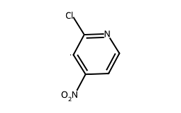 O=[N+]([O-])c1[c]c(Cl)ncc1